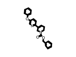 O=C(OCc1ccccc1)N1CCC=C(c2ccc(Oc3ccccc3)cn2)C1